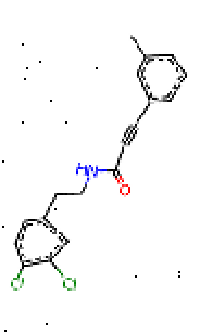 Cc1cccc(C#CC(=O)NCCc2ccc(Cl)c(Cl)c2)c1